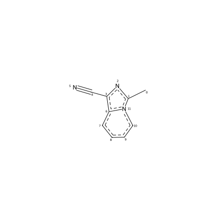 Cc1nc(C#N)c2ccccn12